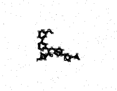 COc1cc(-c2ccnc(N(CC34CCC(c5nc(C6CC6)no5)(CC3)CC4)C(=O)C34CC(F)(C3)C4)c2)ccn1